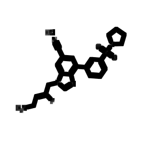 Cl.N#Cc1cc(-c2cccc(S(=O)(=O)N3CCCC3)c2)c2ncn(C/C(F)=C/CN)c2c1